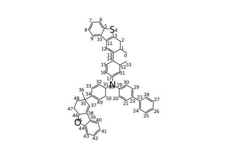 CC1Cc2sc3ccccc3c2C=C1C1C=CC(N(c2ccc(-c3ccccc3)cc2)C2C=CC(C3(C)C=C4c5ccccc5OC4CC3)=CC2)=CC1C